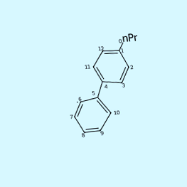 CCCc1ccc(-c2[c]cccc2)cc1